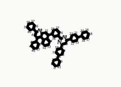 c1ccc(-c2ccc(-c3cc(-c4ccc(-c5ccccc5)cc4)nc(-c4cccc(-c5cc6nc(-c7ccccc7)cc(-c7ccccc7)c6c6ccccc56)c4)n3)cc2)cc1